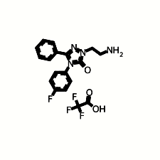 NCCn1nc(-c2ccccc2)n(-c2ccc(F)cc2)c1=O.O=C(O)C(F)(F)F